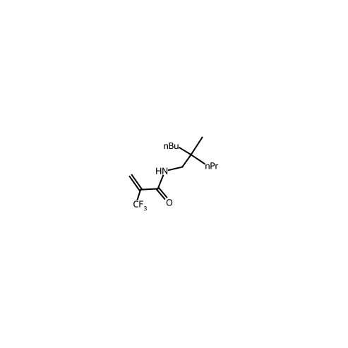 C=C(C(=O)NCC(C)(CCC)CCCC)C(F)(F)F